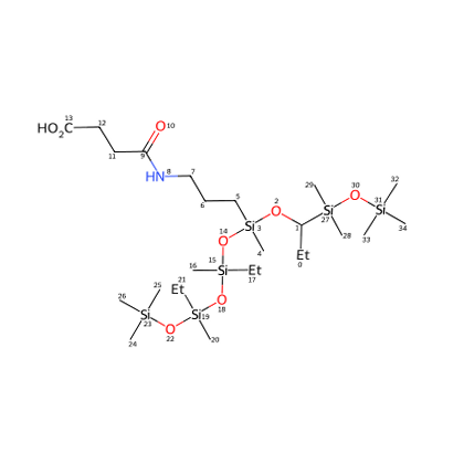 CCC(O[Si](C)(CCCNC(=O)CCC(=O)O)O[Si](C)(CC)O[Si](C)(CC)O[Si](C)(C)C)[Si](C)(C)O[Si](C)(C)C